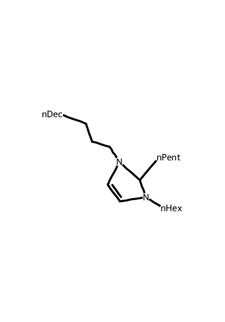 CCCCCCCCCCCCCN1C=CN(CCCCCC)C1CCCCC